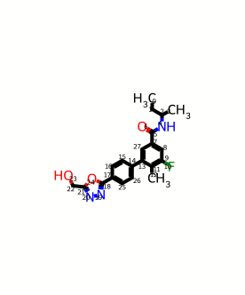 CCC(C)NC(=O)c1cc(F)c(C)c(-c2ccc(-c3nnc(CO)o3)cc2)c1